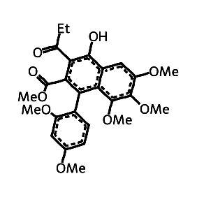 CCC(=O)c1c(C(=O)OC)c(-c2ccc(OC)cc2OC)c2c(OC)c(OC)c(OC)cc2c1O